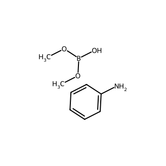 COB(O)OC.Nc1ccccc1